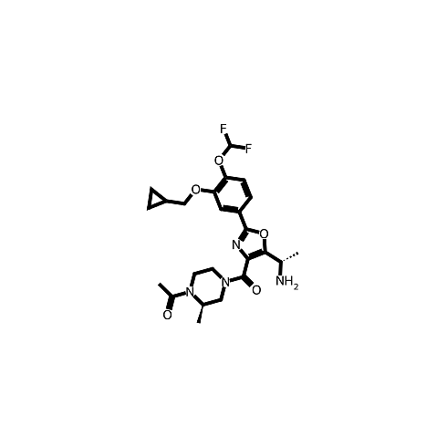 CC(=O)N1CCN(C(=O)c2nc(-c3ccc(OC(F)F)c(OCC4CC4)c3)oc2[C@H](C)N)C[C@H]1C